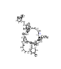 CCn1nccc1CCC(=O)N[S@@]1(=O)=NC(=O)c2ccc3c(c2)N(Cc2ccc(Cl)cc2CCCCO3)C[C@@H]2CC[C@H]2[C@@H](OC)/C=C/CCC1